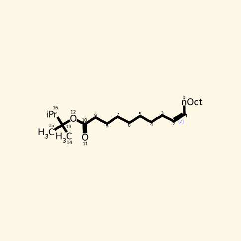 CCCCCCCC/C=C\CCCCCCCC(=O)OC(C)(C)C(C)C